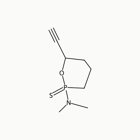 C#CC1CCCP(=S)(N(C)C)O1